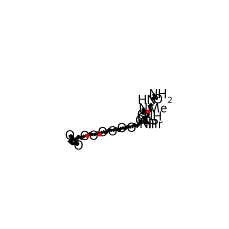 CNC(=O)C(CCCNC(N)=O)NC(=O)C(NC(=O)CCOCCOCCOCCOCCOCCOCCN1C(=O)C=CC1=O)C(C)C